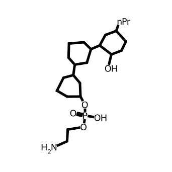 CCCC1CCC(O)C(C2CCCC(C3CCCC(OP(=O)(O)OCCN)C3)C2)C1